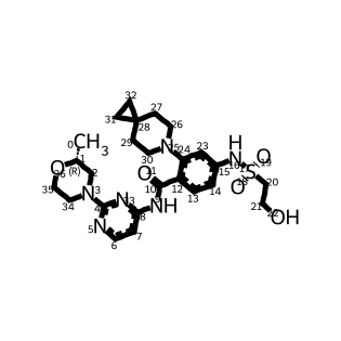 C[C@@H]1CN(c2nccc(NC(=O)c3ccc(NS(=O)(=O)CCO)cc3N3CCC4(CC3)CC4)n2)CCO1